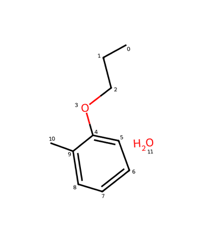 CCCOc1ccccc1C.O